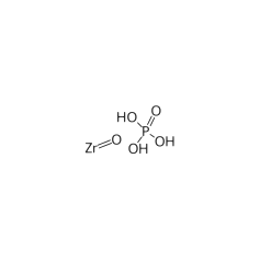 O=P(O)(O)O.[O]=[Zr]